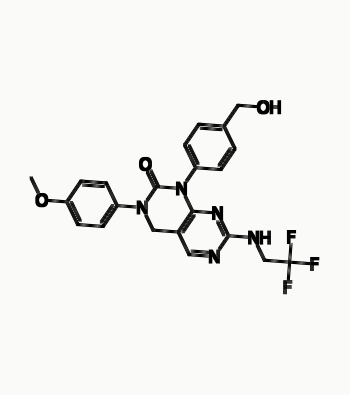 COc1ccc(N2Cc3cnc(NCC(F)(F)F)nc3N(c3ccc(CO)cc3)C2=O)cc1